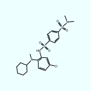 CN(c1ccc(Cl)cc1NS(=O)(=O)c1ccc(S(=O)(=O)N(C)C)cc1)C1CCCCC1